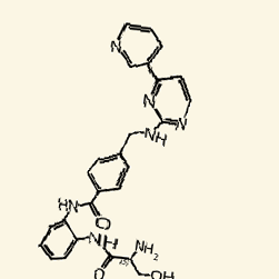 N[C@@H](CO)C(=O)Nc1ccccc1NC(=O)c1ccc(CNc2nccc(-c3cccnc3)n2)cc1